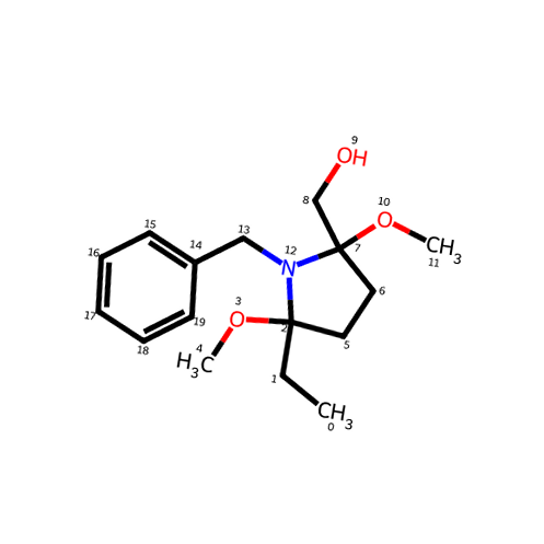 CCC1(OC)CCC(CO)(OC)N1Cc1ccccc1